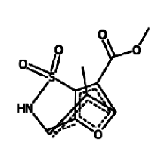 COC(=O)c1c2c3oc1c(C)c3NS2(=O)=O